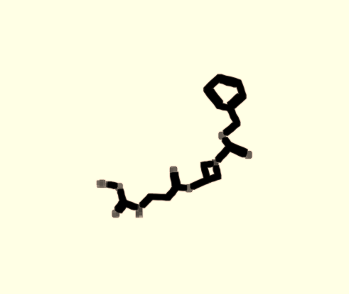 CC(C)(C)OC(=O)NCCC(=O)OC1CN(C(=O)OCc2ccccc2)C1